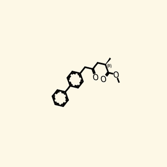 COC(=O)[C@H](C)CC(=O)Cc1ccc(-c2ccccc2)cc1